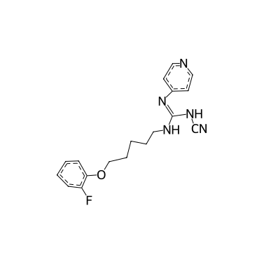 N#CN/C(=N\c1ccncc1)NCCCCCOc1ccccc1F